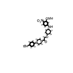 COc1cc(N[C@H]2CC[C@H](OCC(=O)N3CCN(c4ccc(C(C)(C)C)cc4)CC3)CC2)ccc1[N+](=O)[O-]